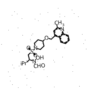 Cc1cc(COC2CCN(S(=O)(=O)CC(C(C)C)N(O)C=O)CC2)c2ccccc2n1